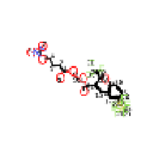 O=C(CCCO[N+](=O)[O-])OCOC(=O)C1=Cc2cc(S(F)(F)(F)(F)F)ccc2OC1C(F)(F)F